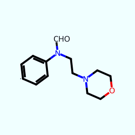 O=CN(CCN1CCOCC1)c1cc[c]cc1